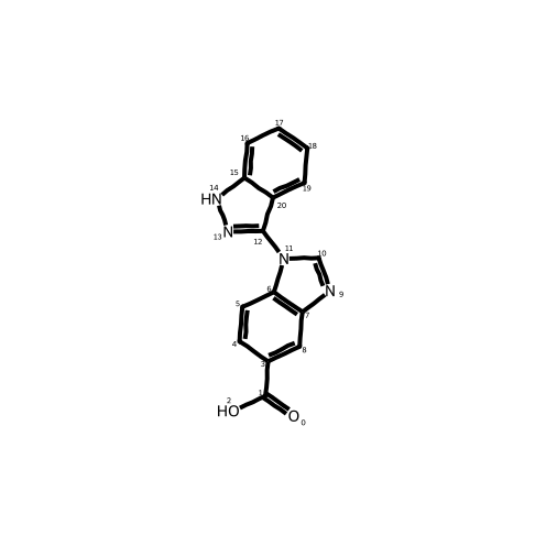 O=C(O)c1ccc2c(c1)ncn2-c1n[nH]c2ccccc12